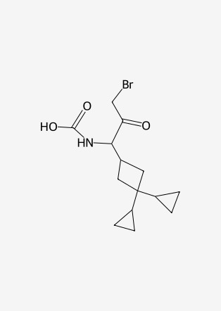 O=C(O)NC(C(=O)CBr)C1CC(C2CC2)(C2CC2)C1